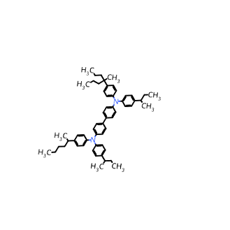 CCCCC(C)c1ccc(N(c2ccc(-c3ccc(N(c4ccc(C(C)CC)cc4)c4ccc(C(C)(CCC)CCC)cc4)cc3)cc2)c2ccc(C(C)CC)cc2)cc1